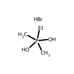 Br.CCP(C)(C)(O)O